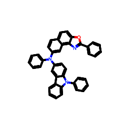 c1ccc(-c2nc3c(ccc4ccc(N(c5ccccc5)c5ccc6c(c5)c5ccccc5n6-c5ccccc5)cc43)o2)cc1